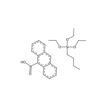 CCCC[Si](OCC)(OCC)OCC.O=C(O)c1c2ccccc2cc2ccccc12